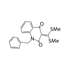 CSC(SC)=C1C(=O)c2ccccc2N(Cc2ccccc2)C1=O